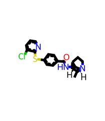 C[C@H]1[C@H](NC(=O)c2ccc(Sc3ncccc3Cl)cc2)C2CCN1CC2